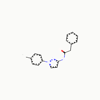 O=C(Cc1ccccc1)Nc1ccn(-c2ccc(C(F)(F)F)cc2)n1